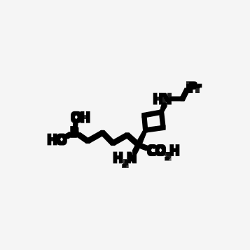 CC(C)CN[C@H]1C[C@@H](C(N)(CCCCB(O)O)C(=O)O)C1